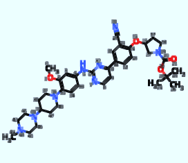 COc1cc(Nc2nccc(-c3ccc(OC4CCN(C(=O)OC(C)(C)C)C4)c(C#N)c3)n2)ccc1N1CCC(N2CCN(C)CC2)CC1